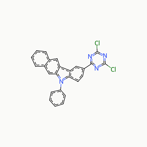 Clc1nc(Cl)nc(-c2ccc3c(c2)c2cc4ccccc4cc2n3-c2ccccc2)n1